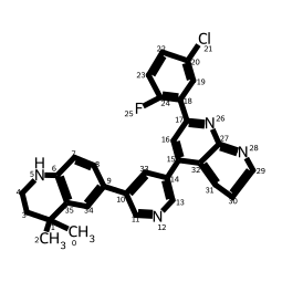 CC1(C)CCNc2ccc(-c3cncc(-c4cc(-c5cc(Cl)ccc5F)nc5ncccc45)c3)cc21